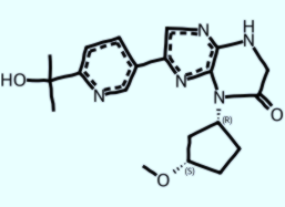 CO[C@H]1CC[C@@H](N2C(=O)CNc3ncc(-c4ccc(C(C)(C)O)nc4)nc32)C1